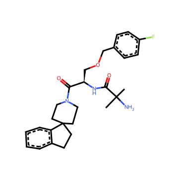 CC(C)(N)C(=O)N[C@H](COCc1ccc(F)cc1)C(=O)N1CCC2(CCc3ccccc32)CC1